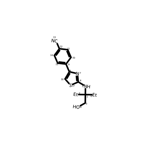 CCC(CC)(CO)Nc1nc(-c2ccc(C#N)cc2)cs1